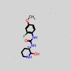 COc1ccc(NC(=O)N[C@@H]2CCCNC2O)c(F)c1